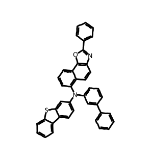 c1ccc(-c2cccc(N(c3ccc4c(c3)sc3ccccc34)c3cccc4c3ccc3nc(-c5ccccc5)oc34)c2)cc1